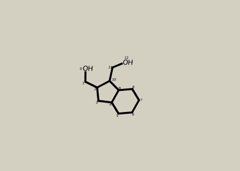 OCC1CC2CCCCC2C1CO